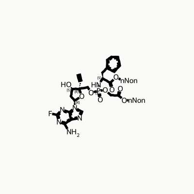 C#C[C@]1(CO[P@@](=O)(N[C@@H](Cc2ccccc2)C(=O)OCCCCCCCCC)OCC(=O)OCCCCCCCCC)O[C@@H](n2cnc3c(N)nc(F)nc32)C[C@@H]1O